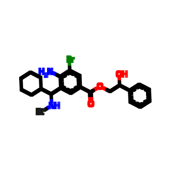 CCNC(c1cc(C(=O)OCC(O)c2ccccc2)cc(Br)c1N)C1CCCCC1